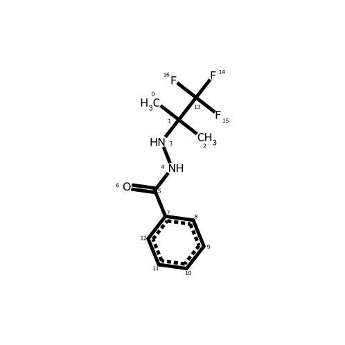 CC(C)(NNC(=O)c1ccccc1)C(F)(F)F